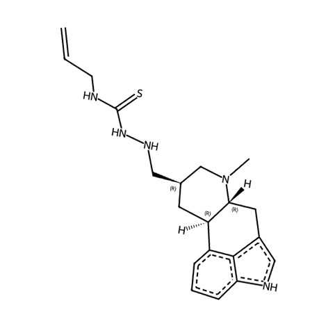 C=CCNC(=S)NNC[C@@H]1C[C@@H]2c3cccc4[nH]cc(c34)C[C@H]2N(C)C1